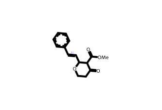 COC(=O)C1C(=O)CCOC1/C=C/c1ccccc1